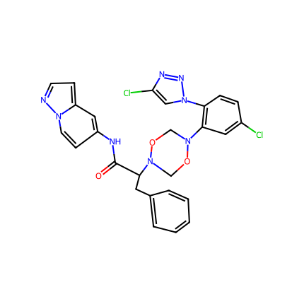 O=C(Nc1ccn2nccc2c1)C(Cc1ccccc1)N1CON(c2cc(Cl)ccc2-n2cc(Cl)nn2)CO1